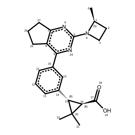 C[C@H]1CCN1c1nc2c(c(-c3cccc([C@@H]4[C@@H](C(=O)O)C4(C)C)c3)n1)CCC2